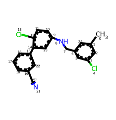 Cc1cc(Cl)cc(CNc2ccc(Cl)c(-c3cccc(C#N)c3)c2)c1